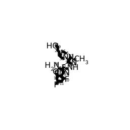 Cc1nc(Nc2nc(-c3c(F)cc(F)cc3Cl)c(C(N)=O)s2)cc(N2CCN(CCO)CC2)n1